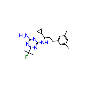 Cc1cc(C)cc(CC[C@@H](Nc2nc(N)nc(C(C)(C)F)n2)C2CC2)c1